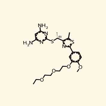 CCOCCOCCOc1cc(-c2nc([C@@H](C)Sc3nc(N)cc(N)n3)c(C)s2)ccc1OC